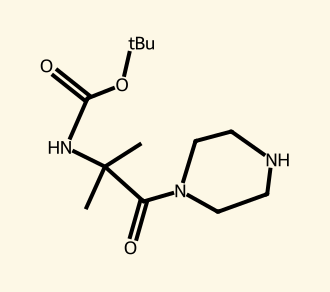 CC(C)(C)OC(=O)NC(C)(C)C(=O)N1CCNCC1